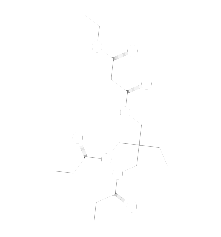 CCOC(=O)CC(=O)OCC(CC)(COC(=O)CC)COC(=O)CC